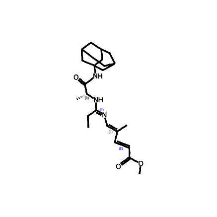 CC\C(=N/C=C(C)/C=C/C(=O)OC)N[C@H](C)C(=O)NC12CC3CC(CC(C3)C1)C2